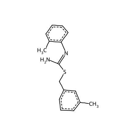 Cc1cccc(CS/C(N)=N/c2ccccc2C)c1